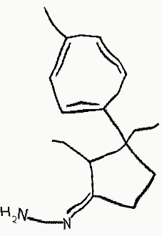 Cc1ccc(C2(C)CCC(=NN)C2C)cc1